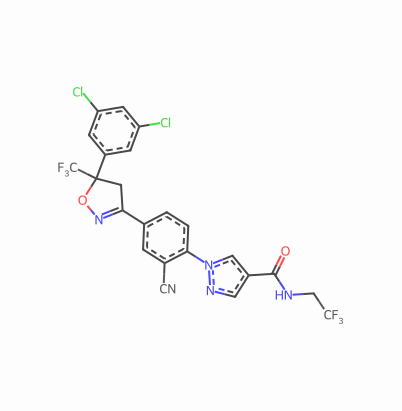 N#Cc1cc(C2=NOC(c3cc(Cl)cc(Cl)c3)(C(F)(F)F)C2)ccc1-n1cc(C(=O)NCC(F)(F)F)cn1